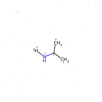 [2H]NC(C)C